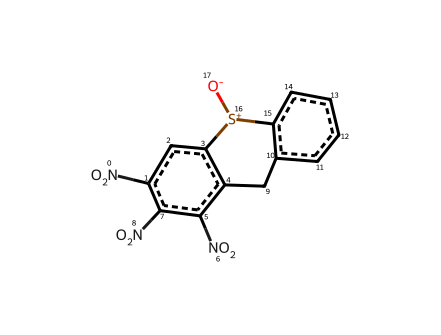 O=[N+]([O-])c1cc2c(c([N+](=O)[O-])c1[N+](=O)[O-])Cc1ccccc1[S+]2[O-]